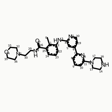 Cc1c(Nc2cc(-c3cccc(N4CCNCC4)n3)ccn2)cccc1C(=O)NCCN1CCOCC1